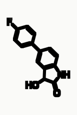 O=C1Nc2ccc(-c3ccc(F)cc3)cc2C1O